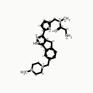 CN1CCN(Cc2ccc3c(c2)-c2[nH]nc(-c4ccc(CN(C)C(=O)CN)s4)c2C3)CC1